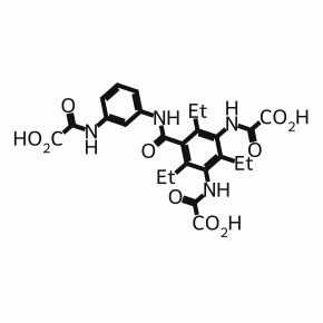 CCc1c(NC(=O)C(=O)O)c(CC)c(C(=O)Nc2cccc(NC(=O)C(=O)O)c2)c(CC)c1NC(=O)C(=O)O